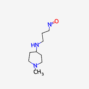 CN1CCC(NCCCN=O)CC1